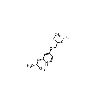 COC(COc1cc[nH]/c(=N\C(C)C)c1)OC